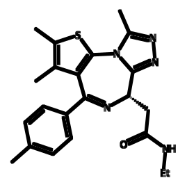 CCNC(=O)C[C@@H]1N=C(c2ccc(C)cc2)c2c(sc(C)c2C)-n2c(C)nnc21